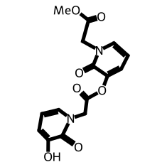 COC(=O)Cn1cccc(OC(=O)Cn2cccc(O)c2=O)c1=O